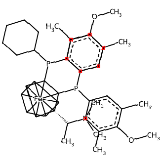 COc1c(C)cc(P(c2cc(C)c(OC)c(C)c2)[C]23[C]4(P(C5CCCCC5)C5CCCCC5)[CH]5[CH]6[C@@]2(C(C)N(C)C)[Fe]56432789[CH]3[CH]2[CH]7[CH]8[CH]39)cc1C